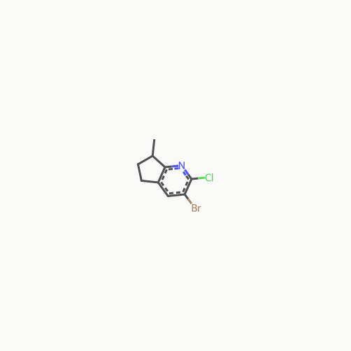 CC1CCc2cc(Br)c(Cl)nc21